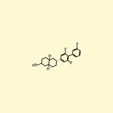 CCCC1CC[C@@H]2C[C@H](c3cc(F)c(-c4cccc(F)c4)c(F)c3)CC[C@@H]2C1